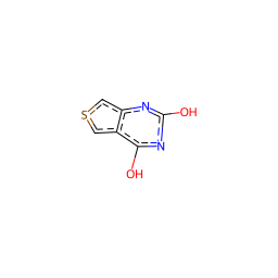 Oc1nc(O)c2cscc2n1